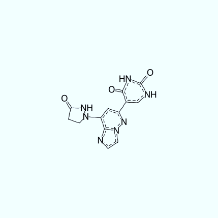 O=C1CCN(c2cc(-c3c[nH]c(=O)[nH]c3=O)nn3ccnc23)N1